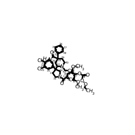 CCOOC(=O)Oc1c(OC)cc(C(=O)N2CCC(c3ccc(Cl)c(Cl)c3)(C3CC(C(N)=O)(c4ccccc4)CCN3CC)C2)cc1OC